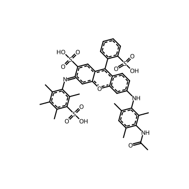 CC(=O)Nc1c(C)cc(C)c(Nc2ccc3c(-c4ccccc4S(=O)(=O)O)c4cc(S(=O)(=O)O)/c(=N/c5c(C)c(C)c(C)c(S(=O)(=O)O)c5C)cc-4oc3c2)c1C